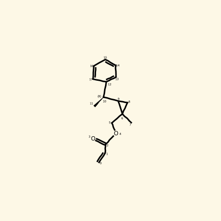 C=CC(=O)OCC1(C)CC1[C@@H](C)c1ccccc1